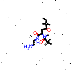 CCC(C)(C)C(=O)CC(C(=O)NCCN)N(C)C(=O)C(C)(C)C